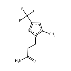 Cc1cc(C(F)(F)F)nn1CCC(N)=O